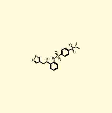 CN(Cc1cnsc1)c1ccccc1NS(=O)(=O)c1ccc(S(=O)(=O)N(C)C)cc1